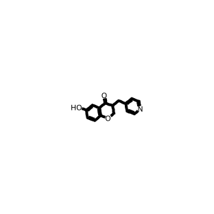 O=C1c2cc(O)ccc2OCC1Cc1ccncc1